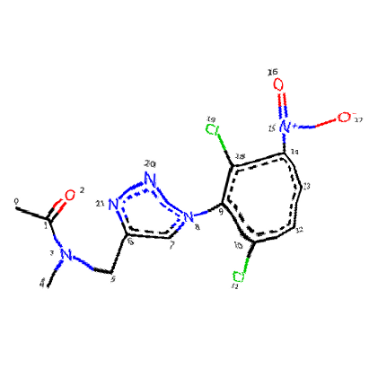 CC(=O)N(C)Cc1cn(-c2c(Cl)ccc([N+](=O)[O-])c2Cl)nn1